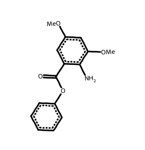 COc1cc(OC)c(N)c(C(=O)Oc2ccccc2)c1